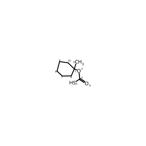 CC1(OC(=O)S)CCCCC1